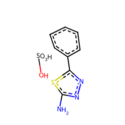 Nc1nnc(-c2ccccc2)s1.O=S(=O)(O)O